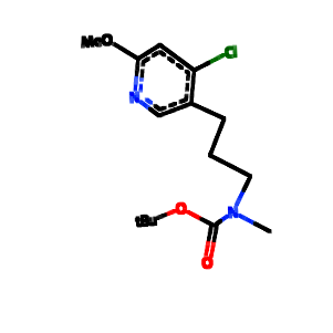 COc1cc(Cl)c(CCCN(C)C(=O)OC(C)(C)C)cn1